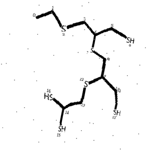 CCSCC(CS)SCC(CS)SCC(S)S